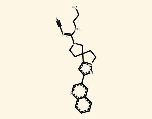 N#C/N=C(\NCCO)N1CCC2(CCn3nc(-c4cnc5ccccc5c4)cc32)C1